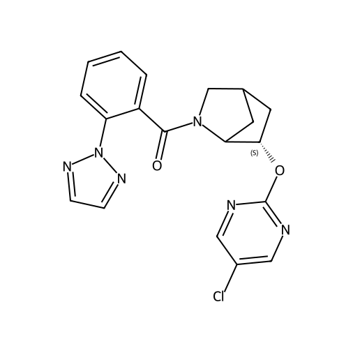 O=C(c1ccccc1-n1nccn1)N1CC2CC1[C@@H](Oc1ncc(Cl)cn1)C2